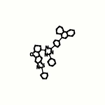 c1ccc(-c2nc(-c3ccc(-c4cc5ccccc5c5ccccc45)cc3)nc(-c3cccc4oc5cc6nc(-c7ccccc7)sc6cc5c34)n2)cc1